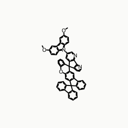 COc1ccc2c(c1)c1cc(OC)ccc1n2-c1cnc2c(c1)C1(c3ccccc3Oc3cc4c(cc31)-c1ccccc1C41c3ccccc3-c3ccccc31)c1cccnc1-2